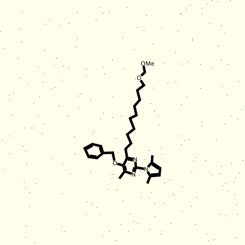 COCOCCCCCCCCCCc1nc(-n2c(C)ccc2C)nc(C)c1OCc1ccccc1